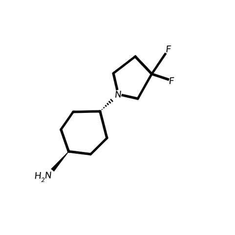 N[C@H]1CC[C@H](N2CCC(F)(F)C2)CC1